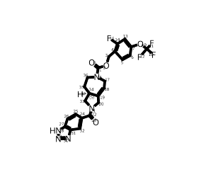 O=C(OCc1ccc(OC(F)(F)F)cc1F)N1CC=C2CN(C(=O)c3ccc4[nH]nnc4c3)C[C@H]2CC1